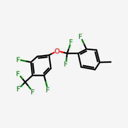 Cc1ccc(C(F)(F)Oc2cc(F)c(C(F)(F)F)c(F)c2)c(F)c1